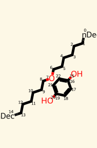 CCCCCCCCCCCCCCCCOCCCCCCCCCCCCCCCC.Oc1ccc(O)cc1